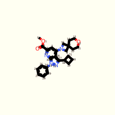 COC(=O)c1cc(N2CC3(CCOCC3)C2)c2c(C3CCC3)nn(-c3ccccc3)c2n1